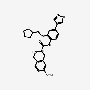 COc1ccc2c(c1)C[C@H](C(=O)Nc1ccc(-c3cn[nH]c3)cc1OCC1CCCO1)NC2